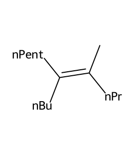 CCCCCC(CCCC)=C(C)CCC